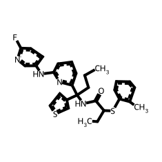 CCCC(NC(=O)C(CC)Sc1ccccc1C)(c1ccsc1)c1cccc(Nc2ccc(F)nc2)n1